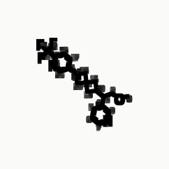 COCC(c1cccnc1)C1CC2(C1)CN(c1ccc(C(F)(F)F)nc1)C2